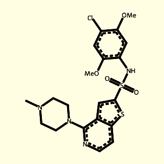 COc1cc(NS(=O)(=O)c2cc3c(N4CCN(C)CC4)nccc3s2)c(OC)cc1Cl